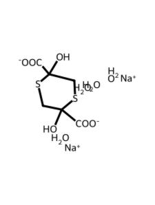 O.O.O.O.O=C([O-])C1(O)CSC(O)(C(=O)[O-])CS1.[Na+].[Na+]